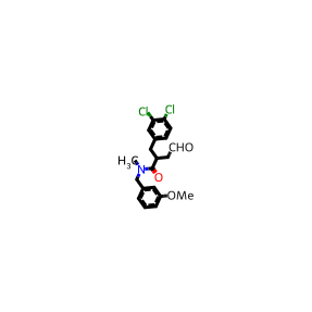 COc1cccc(CN(C)C(=O)C(CC=O)Cc2ccc(Cl)c(Cl)c2)c1